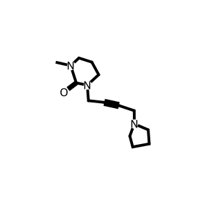 CN1CCCN(CC#CCN2CCCC2)C1=O